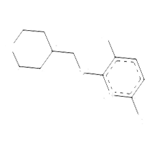 Clc1ccc(Br)nc1NCC1CCOCC1